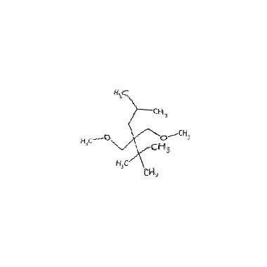 COCC(COC)(CC(C)C)C(C)(C)C